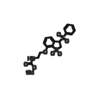 CC(C)(C)OC(=O)NCCOc1cccc2c1S(=O)(=O)CC2S(=O)(=O)c1ccccc1